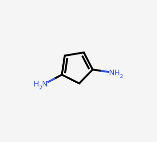 NC1=CC=C(N)C1